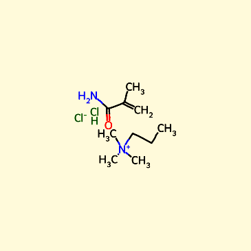 C=C(C)C(N)=O.CCC[N+](C)(C)C.Cl.[Cl-]